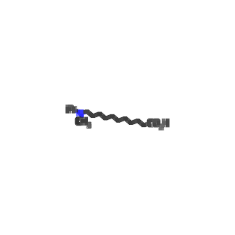 CC(C)N(C)CCCCCCCCCCC(=O)O